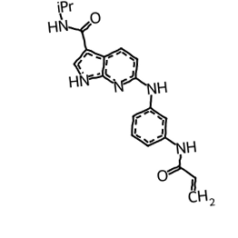 C=CC(=O)Nc1cccc(Nc2ccc3c(C(=O)NC(C)C)c[nH]c3n2)c1